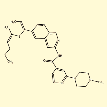 C/C=C(\S/C(C)=C\CCC)c1ccc2cnc(NC(=O)c3ccnc(N4CCN(C)CC4)c3)cc2c1